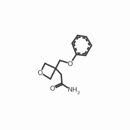 NC(=O)CC1(COc2ccccc2)COC1